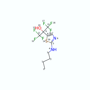 CCCCNc1ncc(C(O)(C(F)(F)F)C(F)(F)F)s1